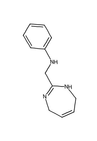 C1=CCNC(CNc2ccccc2)=NC1